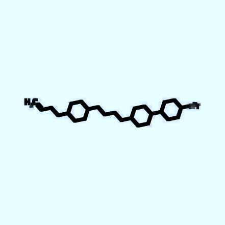 C=CCCC1CCC(CCCCC2CCC(C3CCC(CCC)CC3)CC2)CC1